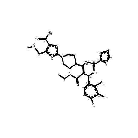 CCOC(=O)C1=C(C2CCN(c3nc(COC)c(C(=O)O)s3)CC2)NC(c2nccs2)=NC1c1ccc(F)c(F)c1Cl